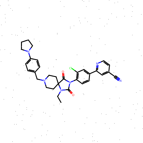 CCN1C(=O)N(c2ccc(-c3cc(C#N)ccn3)cc2Cl)C(=O)C12CCN(Cc1ccc(N3CCCC3)cc1)CC2